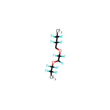 FC(OC(F)(F)C(F)(F)C(F)(F)F)C(F)(F)OCC(F)(F)C(F)(F)C(F)(F)F